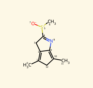 CC1=C2CC([S+](C)[O-])=NC2=C(C)C1